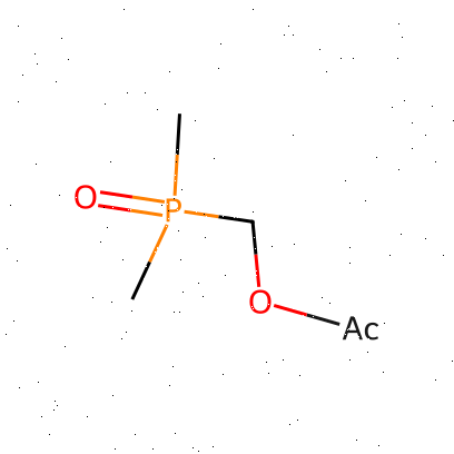 CC(=O)OCP(C)(C)=O